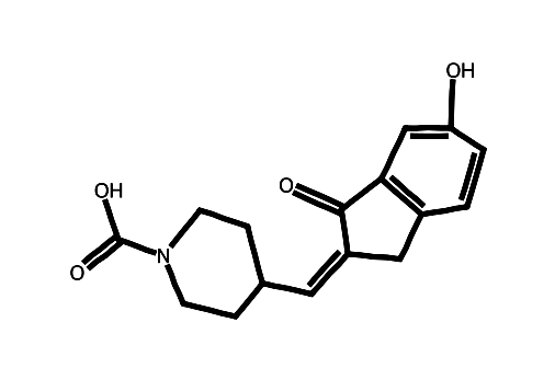 O=C1C(=CC2CCN(C(=O)O)CC2)Cc2ccc(O)cc21